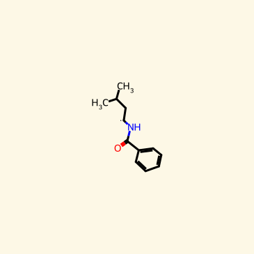 CC(C)C[CH]NC(=O)c1ccccc1